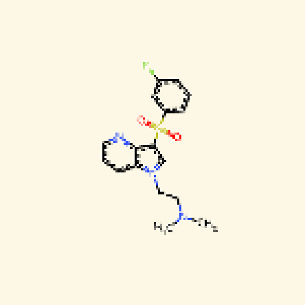 CN(C)CCn1cc(S(=O)(=O)c2cccc(F)c2)c2ncccc21